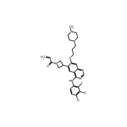 C=CC(=O)N1CC(c2cc3c(Nc4ccc(Cl)c(Cl)c4F)ncnc3cc2OCCCN2CCN(C)CC2)C1